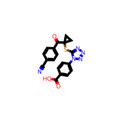 N#Cc1ccc(C(=O)C2(Sc3nnnn3-c3ccc(C(=O)O)cc3)CC2)cc1